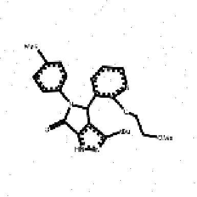 COCCOc1ncccc1C1c2c(C(C)(C)C)n[nH]c2C(=O)N1c1ccc(SC)cc1